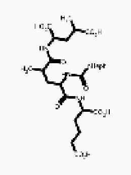 CCCCCCCC(=O)NC(CC(C)C(=O)NC(CC(C)C(=O)O)C(=O)O)C(=O)NC(CCCC(=O)O)C(=O)O